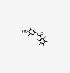 Cc1cc(/C=C/C(=O)c2c(C)c(C)c(C)c(C)c2C)cc(C)c1O